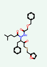 CC(C)CCC(=O)N(NC(=O)COCc1ccccc1)C(Cc1ccccc1)C(=O)CSCc1ccco1